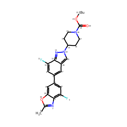 Cc1nc2c(F)cc(-c3cc(F)c4nn(C5CCN(C(=O)OC(C)(C)C)CC5)cc4c3)cc2o1